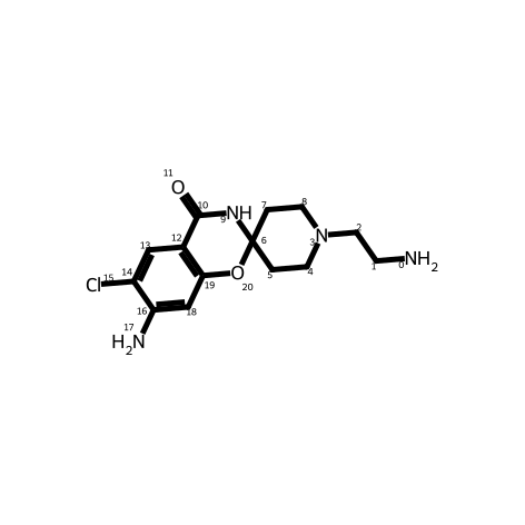 NCCN1CCC2(CC1)NC(=O)c1cc(Cl)c(N)cc1O2